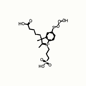 CC1=[N+](CCCS(=O)(=O)O)c2ccc(SOOO)cc2C1(C)CCCCC(=O)O